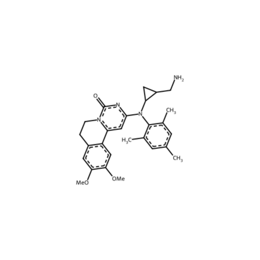 COc1cc2c(cc1OC)-c1cc(N(c3c(C)cc(C)cc3C)C3CC3CN)nc(=O)n1CC2